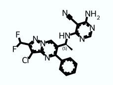 C[C@H](Nc1ncnc(N)c1C#N)c1cn2nc(C(F)F)c(Cl)c2nc1-c1ccccc1